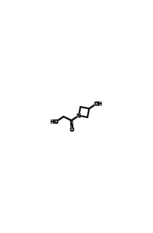 O=C(CO)N1CC(O)C1